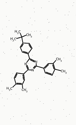 Cc1ccc(-c2nc(-c3ccc(C(C)(C)C)cc3)nc(-c3ccc(C)c(C)c3)n2)cc1C